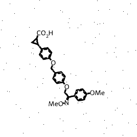 CO/N=C(\COc1ccc(COc2ccc(C3CC3C(=O)O)cc2)cc1)c1ccc(OC)cc1